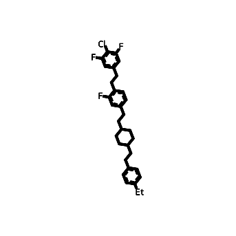 CCc1ccc(CCC2CCC(CCc3ccc(CCc4cc(F)c(Cl)c(F)c4)c(F)c3)CC2)cc1